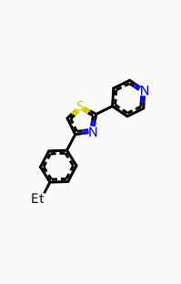 CCc1ccc(-c2csc(-c3ccncc3)n2)cc1